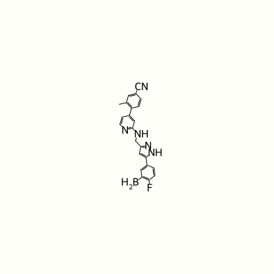 Bc1cc(-c2cc(CNc3cc(-c4ccc(C#N)cc4C)ccn3)n[nH]2)ccc1F